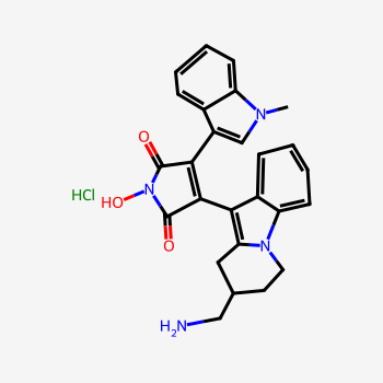 Cl.Cn1cc(C2=C(c3c4n(c5ccccc35)CCC(CN)C4)C(=O)N(O)C2=O)c2ccccc21